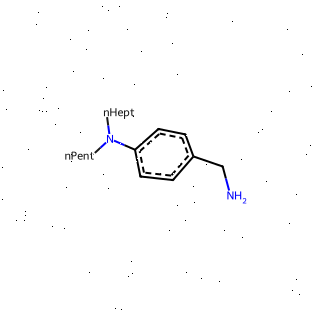 CCCCCCCN(CCCCC)c1ccc(CN)cc1